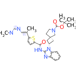 C=N/C=N\C=C(/C)c1ccc(C(=O)Nc2nc3ccccc3n2[C@H]2C[C@@]3(CCN(C(=O)OC(C)(C)C)C3)C2)s1